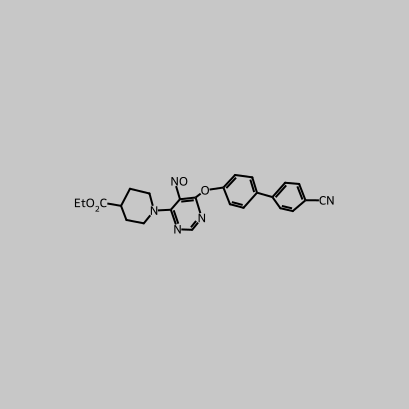 CCOC(=O)C1CCN(c2ncnc(Oc3ccc(-c4ccc(C#N)cc4)cc3)c2N=O)CC1